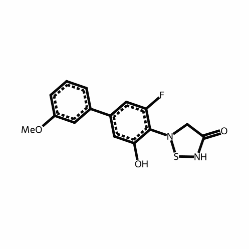 COc1cccc(-c2cc(O)c(N3CC(=O)NS3)c(F)c2)c1